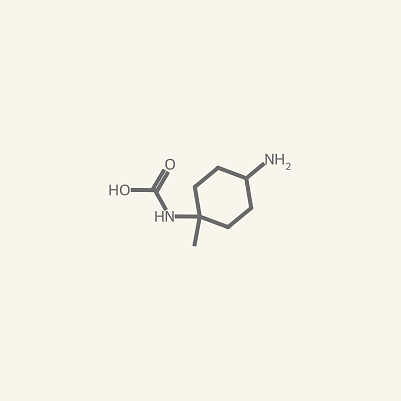 CC1(NC(=O)O)CCC(N)CC1